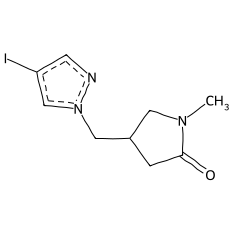 CN1CC(Cn2cc(I)cn2)CC1=O